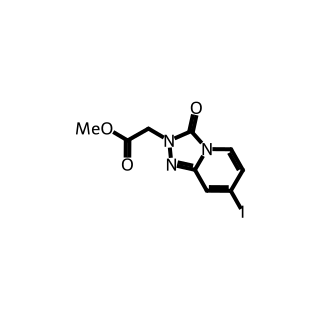 COC(=O)Cn1nc2cc(I)ccn2c1=O